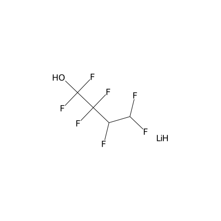 OC(F)(F)C(F)(F)C(F)C(F)F.[LiH]